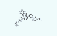 Cn1cc(-c2cccc(C(=O)Nc3nc(CCC/C=N\O)cn3-c3ccccc3)c2)cn1